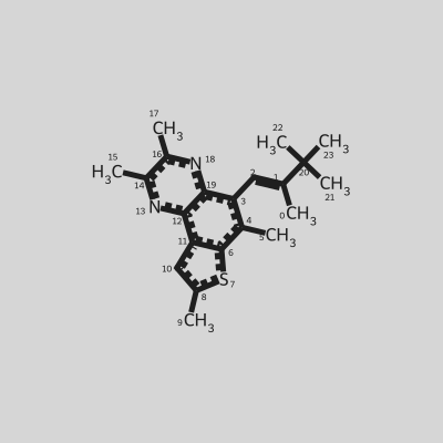 C/C(=C\c1c(C)c2sc(C)cc2c2nc(C)c(C)nc12)C(C)(C)C